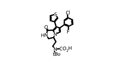 CC(C)(C)N(CCC1CNC(=O)c2c(-c3ccsc3)c(-c3cc(Cl)ccc3F)cn21)C(=O)O